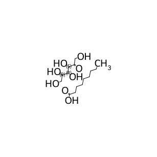 CCCCCCCCC(=O)O.O=C(CO)[C@@H](O)[C@H](O)[C@H](O)CO